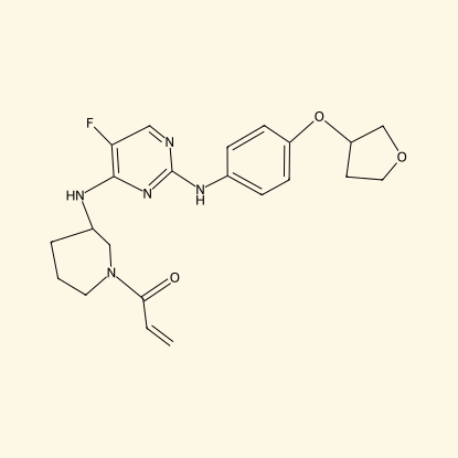 C=CC(=O)N1CCCC(Nc2nc(Nc3ccc(OC4CCOC4)cc3)ncc2F)C1